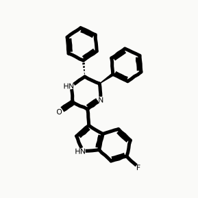 O=C1N[C@H](c2ccccc2)[C@@H](c2ccccc2)N=C1c1c[nH]c2cc(F)ccc12